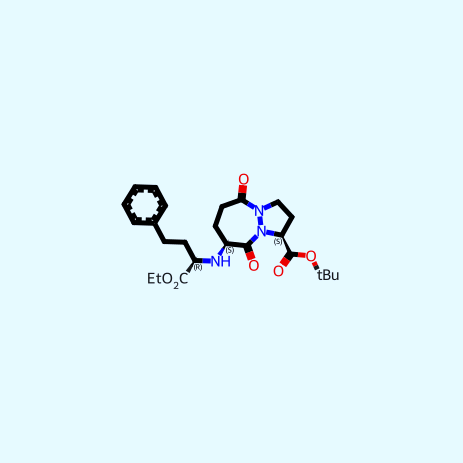 CCOC(=O)[C@@H](CCc1ccccc1)N[C@H]1CCC(=O)N2CC[C@@H](C(=O)OC(C)(C)C)N2C1=O